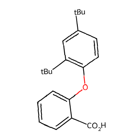 CC(C)(C)c1ccc(Oc2ccccc2C(=O)O)c(C(C)(C)C)c1